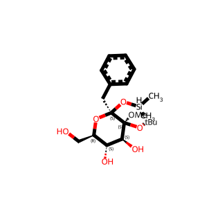 CO[C@]1(OC(C)(C)C)[C@@H](O)[C@H](O)[C@@H](CO)O[C@@]1(Cc1ccccc1)O[SiH](C)C